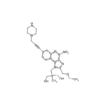 CCOCc1nc2c(N)nc3cc(C#CCN4CCNCC4)ccc3c2n1CC(C)(CO)CO